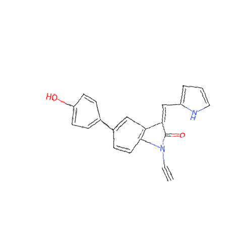 C#CN1C(=O)C(=Cc2ccc[nH]2)c2cc(-c3ccc(O)cc3)ccc21